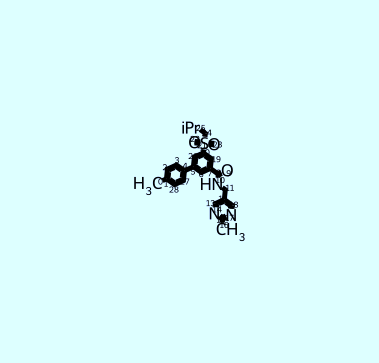 Cc1ccc(-c2cc(C(=O)NCc3cnc(C)nc3)cc(S(=O)(=O)CC(C)C)c2)cc1